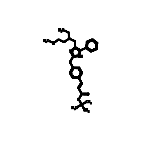 CCN(CCOC)Cc1nc(Cc2ccc(/C=C/C(=O)OC(C)(C)C)cc2)[nH]c1-c1ccccc1